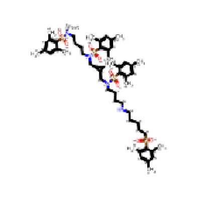 CCCCCN(CCCCN(CC1CC1CN(CCCCNCCCCCS(=O)(=O)c1c(C)cc(C)cc1C)S(=O)(=O)c1c(C)cc(C)cc1C)S(=O)(=O)c1c(C)cc(C)cc1C)S(=O)(=O)c1c(C)cc(C)cc1C